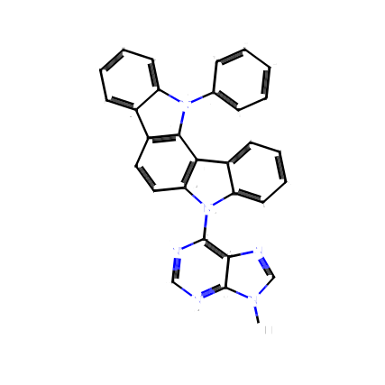 Cn1cnc2c(-n3c4ccccc4c4c3ccc3c5ccccc5n(-c5ccccc5)c34)ncnc21